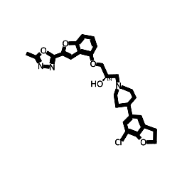 Cc1nnc(-c2cc3c(OC[C@@H](O)CN4CCC(c5cc(Cl)c6c(c5)CCO6)CC4)cccc3o2)o1